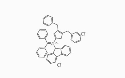 C1=[C]([Zr+2](=[C](c2ccccc2)c2ccccc2)[CH]2c3ccccc3-c3ccccc32)CC(Cc2ccccc2)=C1Cc1ccccc1.[Cl-].[Cl-]